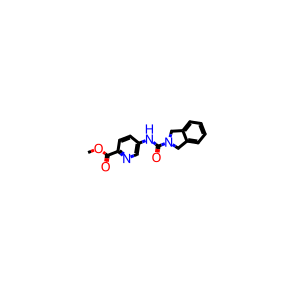 COC(=O)c1ccc(NC(=O)N2Cc3ccccc3C2)cn1